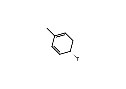 CC1=CC[C@H](F)C=C1